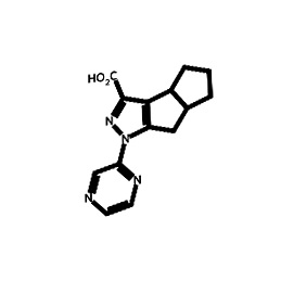 O=C(O)c1nn(-c2cnccn2)c2c1C1CCCC1C2